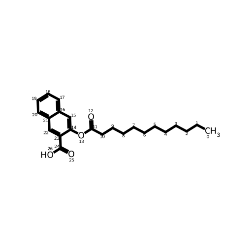 CCCCCCCCCCCC(=O)Oc1cc2ccccc2cc1C(=O)O